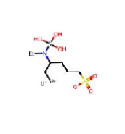 CCN(C(CCCS(=O)(=O)[O-])CC(C)C)[Si](O)(O)O.[Li+]